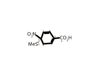 CS[C@]1([N+](=O)[O-])C=CC(C(=O)O)=CC1